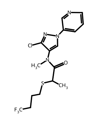 CC(SCCCC(F)(F)F)C(=O)N(C)c1cn(-c2cccnc2)nc1Cl